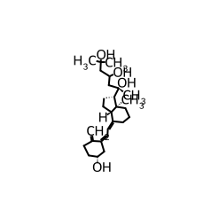 C=C1CC[C@@H](O)C/C1=C/C=C1\CCC[C@@]2(C)[C@H]1CC[C@@H]2[C@@](C)(O)CC(O)CC(C)(C)O